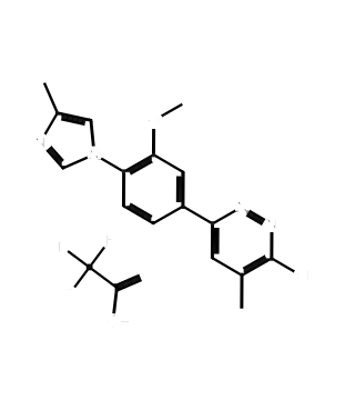 COc1cc(-c2cc(C)c(Cl)nn2)ccc1-n1cnc(C)c1.O=C(O)C(F)(F)F